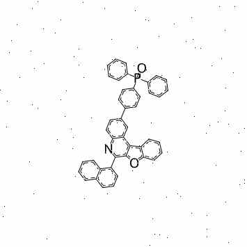 O=P(c1ccccc1)(c1ccccc1)c1ccc(-c2ccc3nc(-c4cccc5ccccc45)c4oc5ccccc5c4c3c2)cc1